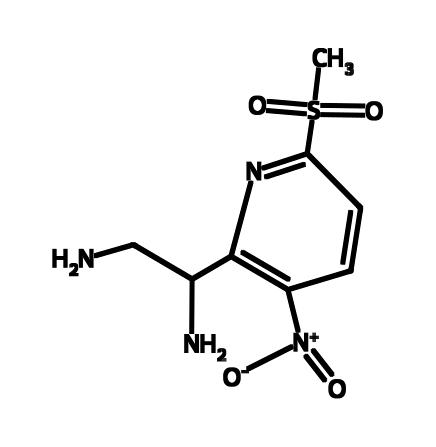 CS(=O)(=O)c1ccc([N+](=O)[O-])c(C(N)CN)n1